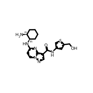 N[C@H]1CCCC[C@H]1Nc1ccn2ncc(C(=O)Nc3csc(CO)c3)c2n1